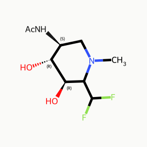 CC(=O)N[C@H]1CN(C)C(C(F)F)[C@@H](O)[C@@H]1O